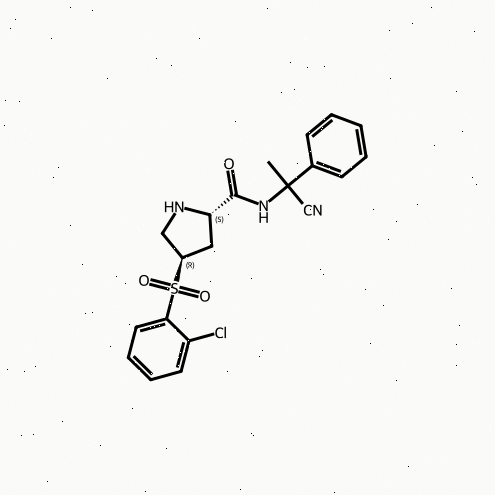 CC(C#N)(NC(=O)[C@@H]1C[C@@H](S(=O)(=O)c2ccccc2Cl)CN1)c1ccccc1